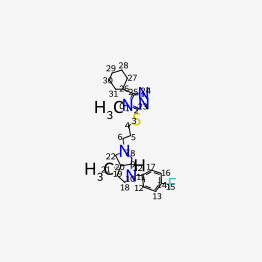 Cn1c(SCCCN2C[C@H]3N(c4ccc(F)cc4)CC[C@@]3(C)C2)nnc1C1CCCCC1